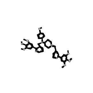 COc1ccc(N(Cc2cccnc2-c2cc(OC)c(OC)c(OC)c2)C2CCN(Cc3ccnc(-c4cc(OC)c(OC)c(OC)c4)c3)CC2)cc1